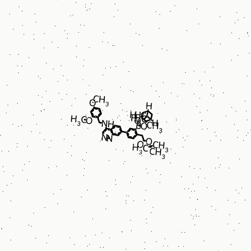 COc1ccc(CNc2cnnc3cc(-c4ccc(CC(=O)OC(C)(C)C)c(B5O[C@@H]6C[C@@H]7C[C@@H](C7(C)C)[C@]6(C)O5)c4)ccc23)c(OC)c1